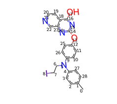 Cc1ccc(N(CCI)c2ccc(Oc3nc(O)c4ccncc4n3)cc2)cc1